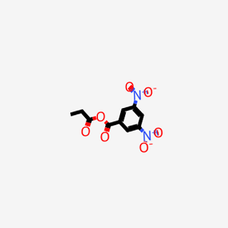 CCC(=O)OC(=O)c1cc([N+](=O)[O-])cc([N+](=O)[O-])c1